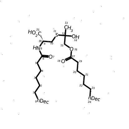 CCCCCCCCCCCCCCCC(=O)N[C@@H](CSC(C)(O)COC(=O)CCCCCCCCCCCCCCC)C(=O)O